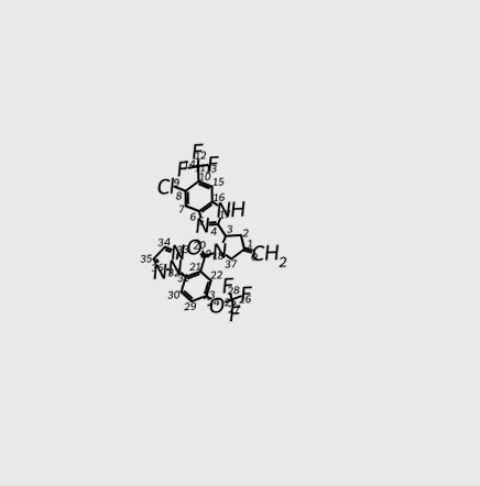 C=C1CC(c2nc3cc(Cl)c(C(F)(F)F)cc3[nH]2)N(C(=O)c2cc(OC(F)(F)F)ccc2-n2nccn2)C1